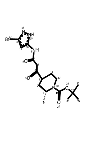 C[C@@H]1CC(C(=O)CC(=O)Nc2cc(Br)n[nH]2)CCN1C(=O)OC(C)(C)C